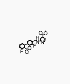 COC(=O)c1ccnc(NCc2ccc(-c3cccc(F)c3C(=O)OC)cc2F)c1